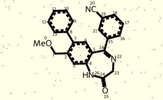 COCc1cc2c(cc1-c1ccccc1)C(c1cccc(C#N)c1)=NCC(=O)N2